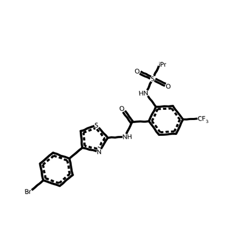 CC(C)S(=O)(=O)Nc1cc(C(F)(F)F)ccc1C(=O)Nc1nc(-c2ccc(Br)cc2)cs1